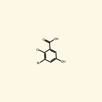 O=C(O)c1cc(O)cc(Br)c1Cl